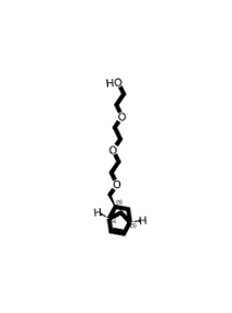 OCCOCCOCCOC[C@H]1C[C@H]2C=C[C@@H]1C2